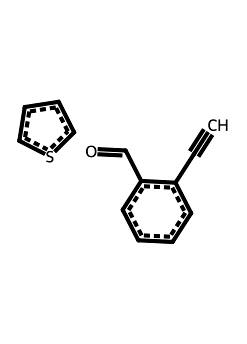 C#Cc1ccccc1C=O.c1ccsc1